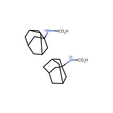 O=C(O)NC12CC3CC(CC(C3)C1)C2.O=C(O)NC12CC3CC(CC(C3)C1)C2